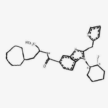 C[C@@H]1CCCC[C@H]1n1c(Cc2cccs2)nc2cc(C(=O)NC(CC3CCCCCC3)C(=O)O)ccc21